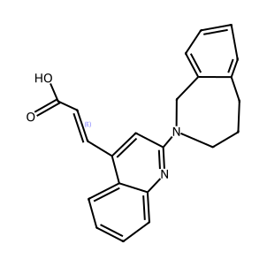 O=C(O)/C=C/c1cc(N2CCCc3ccccc3C2)nc2ccccc12